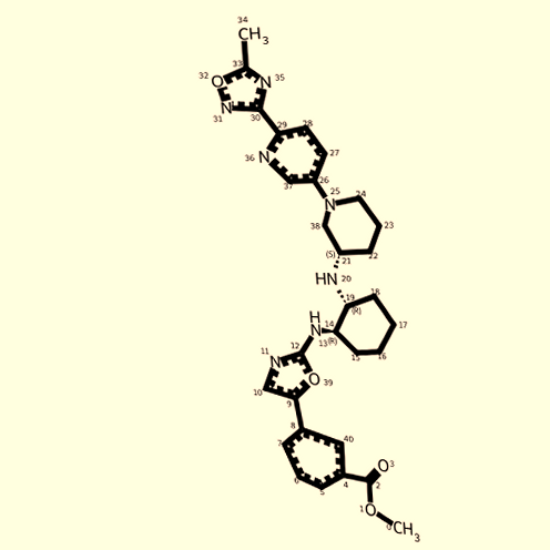 COC(=O)c1cccc(-c2cnc(N[C@@H]3CCCC[C@H]3N[C@H]3CCCN(c4ccc(-c5noc(C)n5)nc4)C3)o2)c1